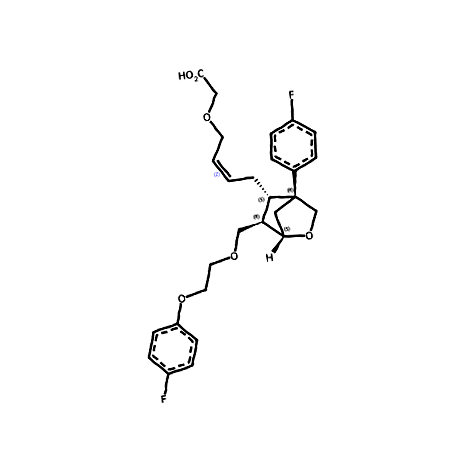 O=C(O)COC/C=C\C[C@H]1[C@H](COCCOc2ccc(F)cc2)[C@@H]2C[C@@]1(c1ccc(F)cc1)CO2